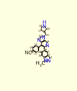 Cn1ncc2cc(-c3ncc4c(ncn4CC4CCNC4)c3-c3ccc(C#N)cc3)ccc21